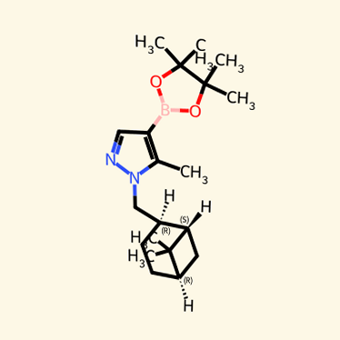 Cc1c(B2OC(C)(C)C(C)(C)O2)cnn1C[C@@H]1CC[C@@H]2C[C@@H]1C2(C)C